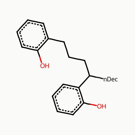 CCCCCCCCCCC(CCCc1ccccc1O)c1ccccc1O